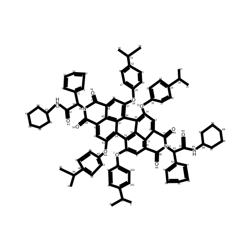 CC(C)c1ccc(Oc2cc3c4c(cc(Oc5ccc(C(C)C)cc5)c5c6c(Oc7ccc(C(C)C)cc7)cc7c8c(cc(Oc9ccc(C(C)C)cc9)c(c2c45)c86)C(=O)N(C(C(=O)NC2CCCCC2)c2ccccc2)C7=O)C(=O)N(C(C(=O)NC2CCCCC2)c2ccccc2)C3=O)cc1